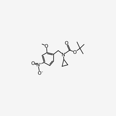 COc1cc([N+](=O)[O-])ccc1CN(C(=O)OC(C)(C)C)C1CC1